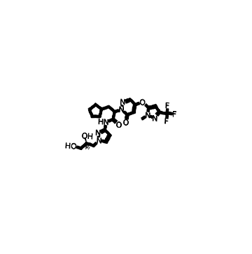 Cn1nc(C(F)(F)F)cc1Oc1cnn(C(CC2CCCC2)C(=O)Nc2ccn(C[C@@H](O)CO)n2)c(=O)c1